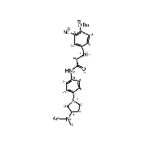 CC(=O)N(C)C1CCN(c2ccc(NC(=O)CNc3ccc(OCC(C)C)c(C#N)c3)cc2)C1